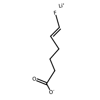 O=C([O-])CCCC=CF.[Li+]